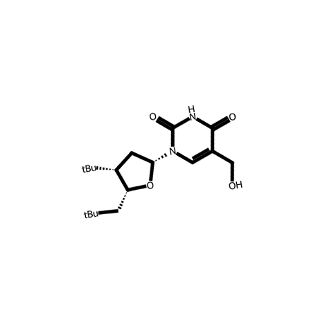 CC(C)(C)C[C@H]1O[C@@H](n2cc(CO)c(=O)[nH]c2=O)C[C@H]1C(C)(C)C